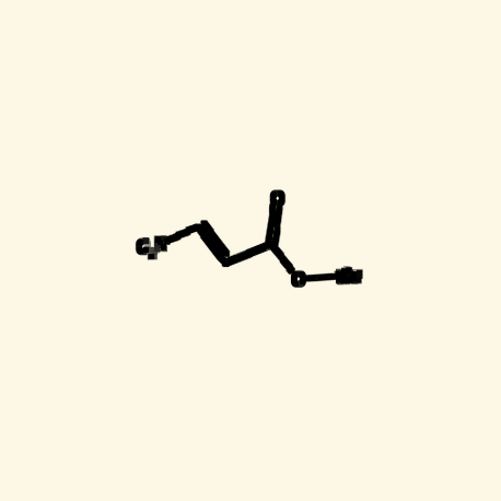 CC(C)(C)OC(=O)C=C[N+](=O)[O-]